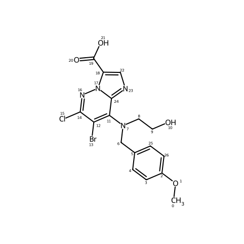 COc1ccc(CN(CCO)c2c(Br)c(Cl)nn3c(C(=O)O)cnc23)cc1